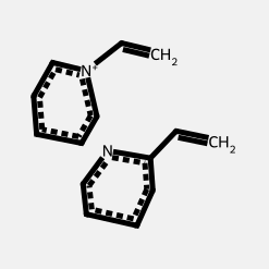 C=C[n+]1ccccc1.C=Cc1ccccn1